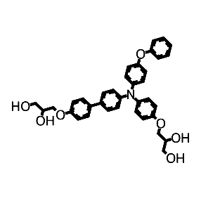 OCC(O)COc1ccc(-c2ccc(N(c3ccc(OCC(O)CO)cc3)c3ccc(Oc4ccccc4)cc3)cc2)cc1